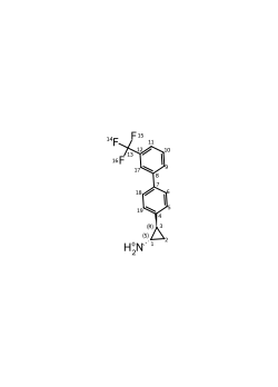 N[C@H]1C[C@@H]1c1ccc(-c2cccc(C(F)(F)F)c2)cc1